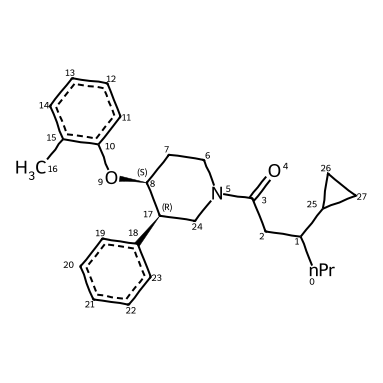 CCCC(CC(=O)N1CC[C@H](Oc2ccccc2C)[C@H](c2ccccc2)C1)C1CC1